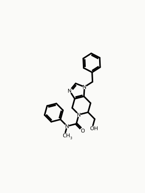 CN(C(=O)N1Cc2ncn(Cc3ccccc3)c2CC1CO)c1ccccc1